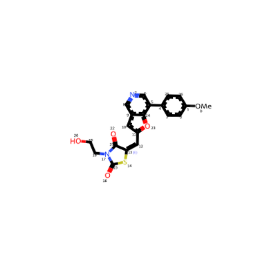 COc1ccc(-c2cncc3cc(/C=C4/SC(=O)N(CCO)C4=O)oc23)cc1